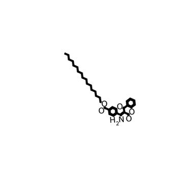 CCCCCCCCCCCCCCCCCOC(=O)c1ccc(/C(N)=C2/C(=O)Oc3ccccc3C2=O)cc1